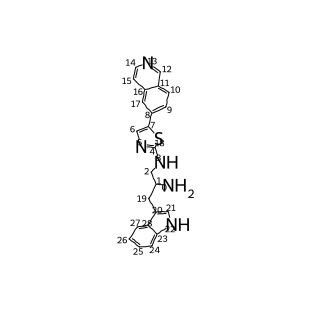 NC(CNc1ncc(-c2ccc3cnccc3c2)s1)Cc1c[nH]c2ccccc12